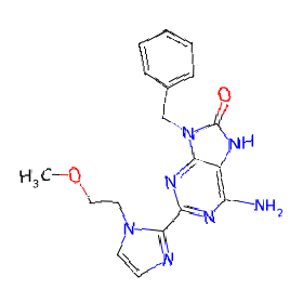 COCCn1ccnc1-c1nc(N)c2[nH]c(=O)n(Cc3ccccc3)c2n1